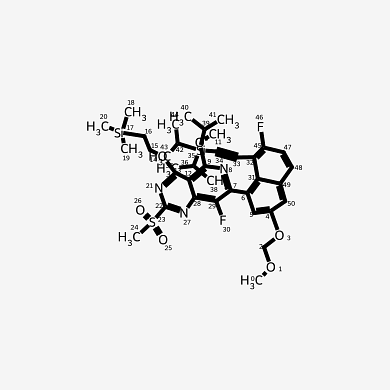 COCOc1cc(-c2nc(OC)c3c(OCC[Si](C)(C)C)nc(S(C)(=O)=O)nc3c2F)c2c(C#C[Si](C(C)C)(C(C)C)C(C)C)c(F)ccc2c1